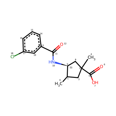 CC1CC(C)(C(=O)O)C[C@@H]1NC(=O)c1cccc(Cl)c1